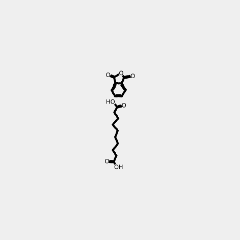 O=C(O)CCCCCCCCC(=O)O.O=C1OC(=O)c2ccccc21